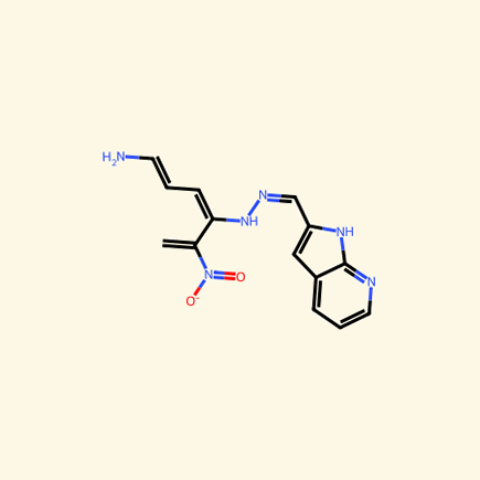 C=C(/C(=C\C=C\N)N/N=C\c1cc2cccnc2[nH]1)[N+](=O)[O-]